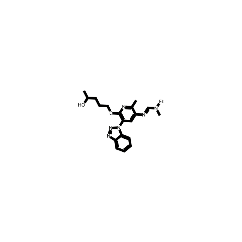 CCN(C)/C=N/c1cc(-n2nnc3ccccc32)c(OCCCC(C)O)nc1C